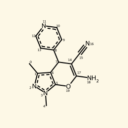 Cc1nn(C)c2c1C(c1ccncc1)C(C#N)=C(N)O2